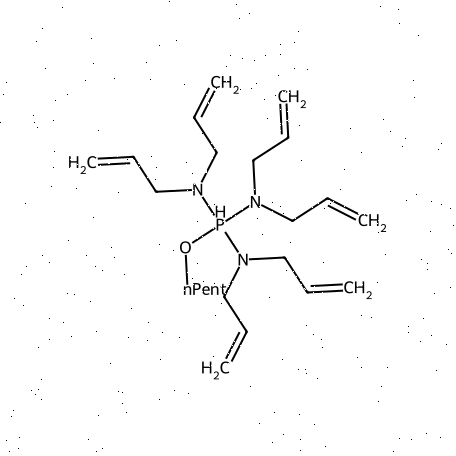 C=CCN(CC=C)[PH](OCCCCC)(N(CC=C)CC=C)N(CC=C)CC=C